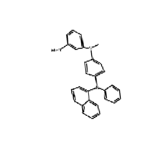 COc1cccc(N(C)c2ccc(N(c3ccccc3)c3cccc4ccccc34)cc2)c1